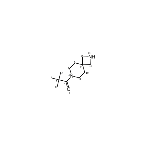 CC(C)(C)C(=O)N1CCC2(CC1)CNC2